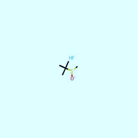 C[S+]([O-])C(C)(C)C.F